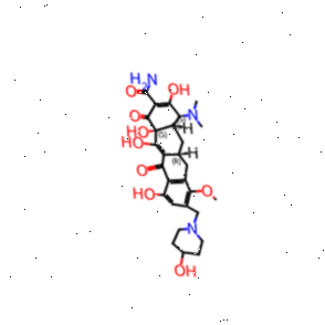 COc1c(CN2CCC(O)CC2)cc(O)c2c1C[C@H]1C[C@H]3[C@H](N(C)C)C(O)=C(C(N)=O)C(=O)[C@@]3(O)C(O)=C1C2=O